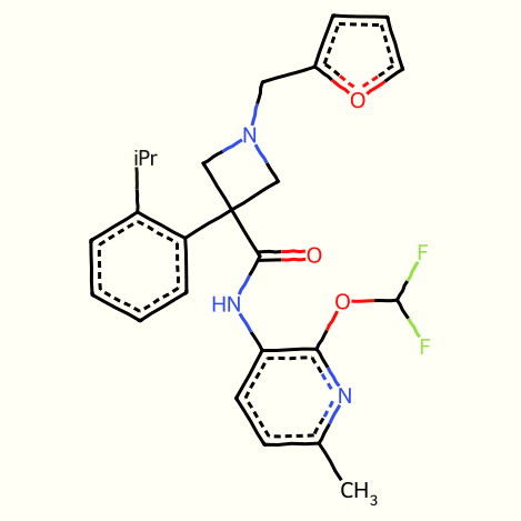 Cc1ccc(NC(=O)C2(c3ccccc3C(C)C)CN(Cc3ccco3)C2)c(OC(F)F)n1